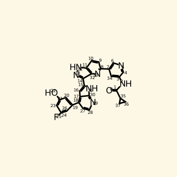 O=C(Nc1cncc(-c2ccc3[nH]nc(-c4cc5c(-c6cc(O)cc(F)c6)ccnc5[nH]4)c3n2)c1)C1CC1